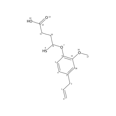 C=CCc1ccc(OC(S)CCC(=O)O)c(OC)c1